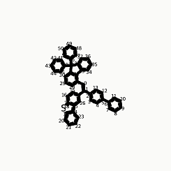 C(=C(\c1ccc(-c2ccccc2)cc1)c1ccc2sc3ccccc3c2c1)/c1cccc2c1-c1ccccc1C2(c1ccccc1)c1ccccc1